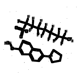 CCCCOc1ccc2cc([S+]3CCCC3)ccc2c1.O=S(=O)([O-])C(F)(F)C(F)(F)C(F)(F)C(F)(F)C(F)(F)C(F)(F)C(F)(F)C(F)(F)F